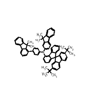 CC(C)(C)c1ccc2c(c1)C1(c3cc(C(C)(C)C)ccc3-2)c2ccccc2-c2c(N(c3ccc(-c4cccc5c4C(C)(C)c4ccccc4-5)cc3)c3ccc4c(c3)C(C)(C)c3ccccc3-4)cccc21